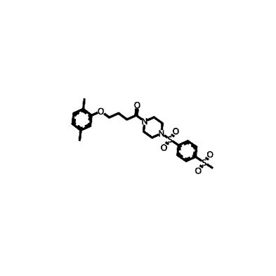 Cc1ccc(C)c(OCCCC(=O)N2CCN(S(=O)(=O)c3ccc(S(C)(=O)=O)cc3)CC2)c1